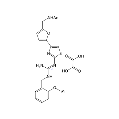 CC(=O)NCc1ccc(-c2csc(/N=C(\N)NCc3ccccc3OC(C)C)n2)o1.O=C(O)C(=O)O